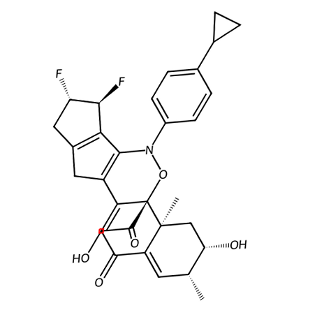 C[C@@H]1C=C2C(=O)C=C3C4=C(C5=C(C4)C[C@H](F)[C@H]5F)N(c4ccc(C5CC5)cc4)O[C@]3(C(=O)CO)[C@@]2(C)C[C@@H]1O